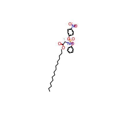 CCCCCCCCCCCCCCCCOC(=O)[C@H](C)NP(=O)(Oc1ccccc1)Oc1ccc([N+](=O)[O-])cc1